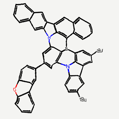 CC(C)(C)c1ccc2c(c1)c1cc(C(C)(C)C)cc3c1n2-c1cc(-c2ccc4oc5ccccc5c4c2)cc2c1B3c1c3ccccc3cc3c4cc5ccccc5cc4n-2c13